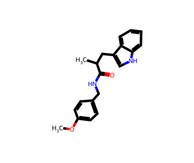 COc1ccc(CNC(=O)C(C)Cc2c[nH]c3ccccc23)cc1